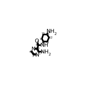 Nc1nccnc1C(=O)NC1CCC(N)CC1